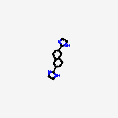 c1c[nH]c(-c2ccc3cc(-c4ncc[nH]4)ccc3c2)n1